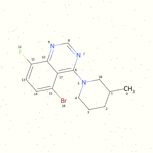 CC1CCCN(c2ncnc3c(F)ccc(Br)c23)C1